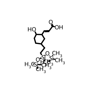 C[Si](C)(C)O[Si](C)(CCC1CCC(O)C(C=CC(=O)O)C1)O[Si](C)(C)C